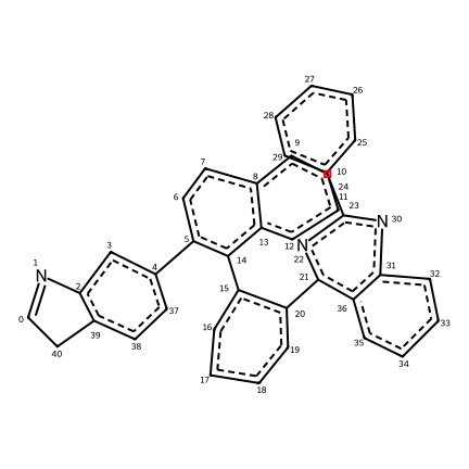 C1=Nc2cc(-c3ccc4ccccc4c3-c3ccccc3-c3nc(-c4ccccc4)nc4ccccc34)ccc2C1